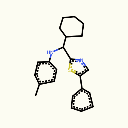 Cc1ccc(NC(c2ncc(-c3ccccc3)s2)C2CCCCC2)cc1